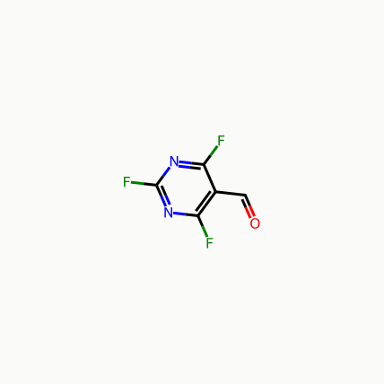 O=Cc1c(F)nc(F)nc1F